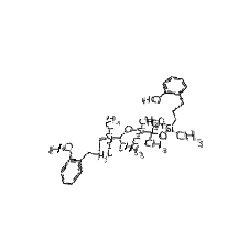 CC(O[Si](C)(C)C(C)(C)O[Si](C)(C)CCCc1ccccc1O)[Si](C)(C)CCCc1ccccc1O